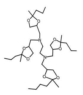 CCCCC1(C)OCC(CN(CCN(CC2COC(C)(CCC)O2)CC2COC(C)(CCC)O2)CC2COC(C)(CCC)O2)O1